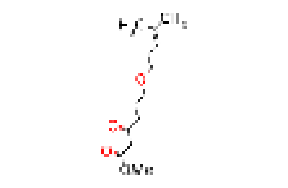 COC(=O)CC(=O)CCCOCCC=C(C)C